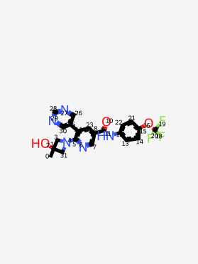 CC1(O)CN(c2ncc(C(=O)Nc3ccc(OC(F)(F)F)cc3)cc2-c2cncnc2)C1